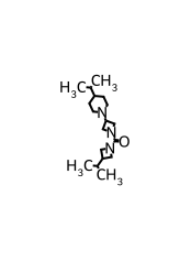 CC(C)C1CCN(C2CN(C(=O)N3CC(C(C)C)C3)C2)CC1